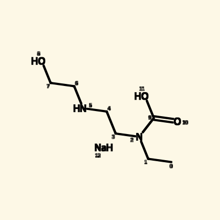 CCN(CCNCCO)C(=O)O.[NaH]